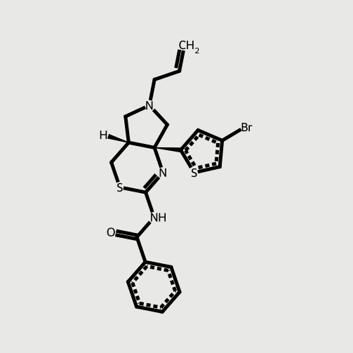 C=CCN1C[C@H]2CSC(NC(=O)c3ccccc3)=N[C@@]2(c2cc(Br)cs2)C1